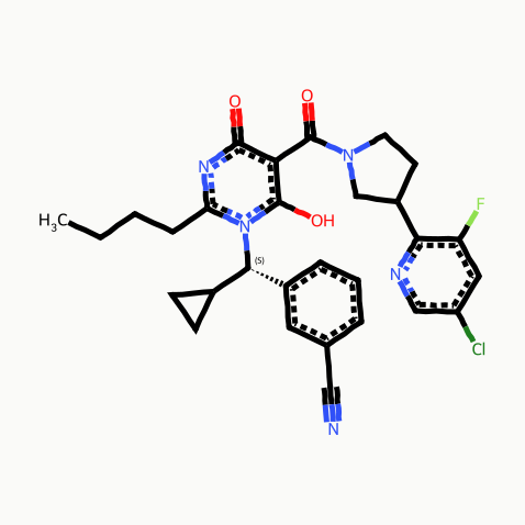 CCCCc1nc(=O)c(C(=O)N2CCC(c3ncc(Cl)cc3F)C2)c(O)n1[C@H](c1cccc(C#N)c1)C1CC1